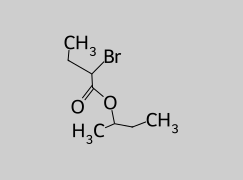 CCC(C)OC(=O)C(Br)CC